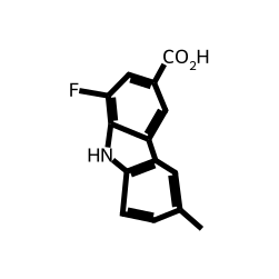 Cc1ccc2[nH]c3c(F)cc(C(=O)O)cc3c2c1